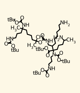 CC(N)CCCC(C(=O)OC(C)(C)C)(C(CCCCCCN)CNC(=O)OC(C)(C)CCCCC(C)(CCCNC(=O)OC(C)(C)C)NC(=O)OC(C)(C)C)N(CCCNC(=O)OC(C)(C)C)C(=O)OC(C)(C)C